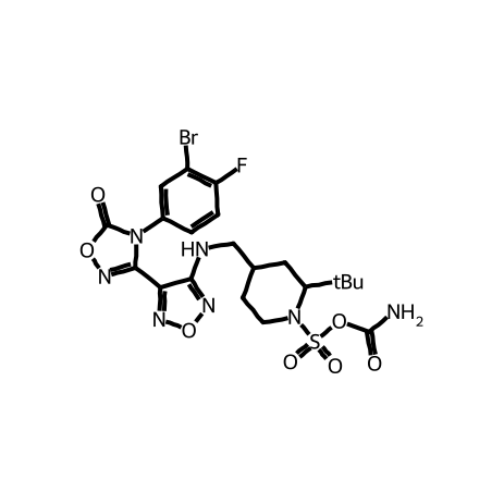 CC(C)(C)C1CC(CNc2nonc2-c2noc(=O)n2-c2ccc(F)c(Br)c2)CCN1S(=O)(=O)OC(N)=O